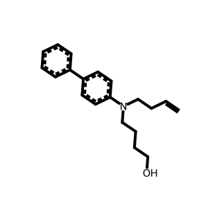 C=CCCN(CCCCO)c1ccc(-c2ccccc2)cc1